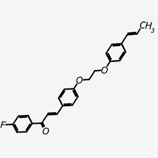 CC=Cc1ccc(OCCOc2ccc(/C=C/C(=O)c3ccc(F)cc3)cc2)cc1